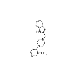 CN1CN=CC=C1N1CCN(Cc2cc3ccccc3[nH]2)CC1